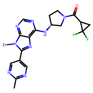 CCn1c(-c2cnc(C)nc2)nc2c(N[C@H]3CCN(C(=O)C4CC4(F)F)C3)ncnc21